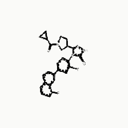 O=C(C1CC1)N1CCC(c2n[nH]c(=O)n2-c2ccc(-c3ccc4cccc(F)c4c3)cc2F)C1